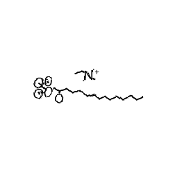 CCCCCCCCCCCCCC(=O)COS(=O)(=O)[O-].CC[N+](C)(C)C